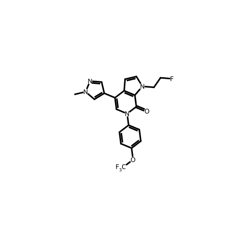 Cn1cc(-c2cn(-c3ccc(OC(F)(F)F)cc3)c(=O)c3c2ccn3CCF)cn1